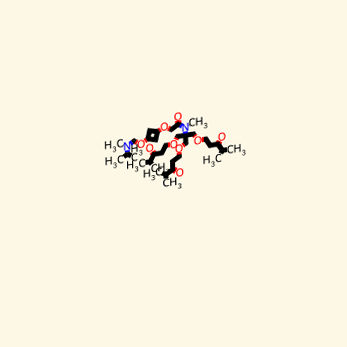 CC(C)C(=O)CCOCC(COCCC(=O)C(C)C)(COCCC(=O)C(C)C)N(C)C(=O)COC1CC(OCN(C)C(C)C)C1